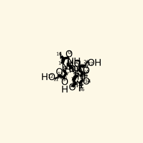 O=c1[nH]c(=O)n(C2C[C@H](O)[C@@H](CO)O2)cc1I.O=c1ccn([C@]2(F)O[C@H](CO)[C@@H](O)[C@]2(O)F)c(=O)n1F